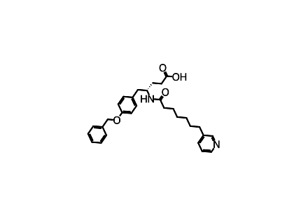 O=C(O)CC[C@@H](Cc1ccc(OCc2ccccc2)cc1)NC(=O)CCCCCCc1cccnc1